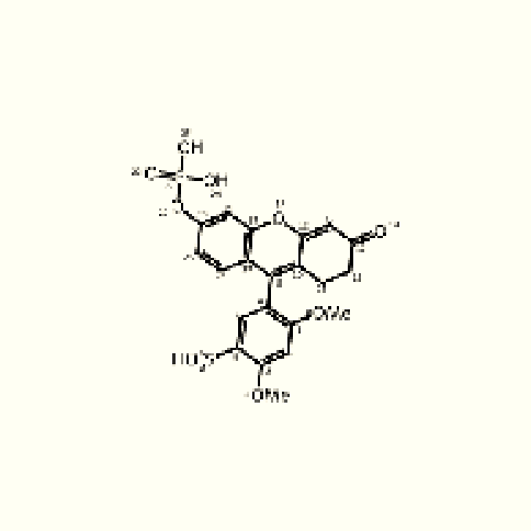 COc1cc(OC)c(S(=O)(=O)O)cc1C1=C2CCC(=O)C=C2Oc2cc(OP(=O)(O)O)ccc21